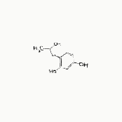 CC(O)Cc1ccc(O)cc1O